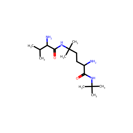 CC(C)C(N)C(=O)NC(C)(C)CCC(N)C(=O)NC(C)(C)C